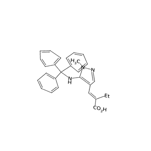 CC/C(=C\c1cnn(C)c1NC(c1ccccc1)(c1ccccc1)c1ccccc1)C(=O)O